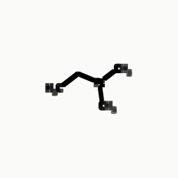 C[CH2][Pt]([CH3])[CH3]